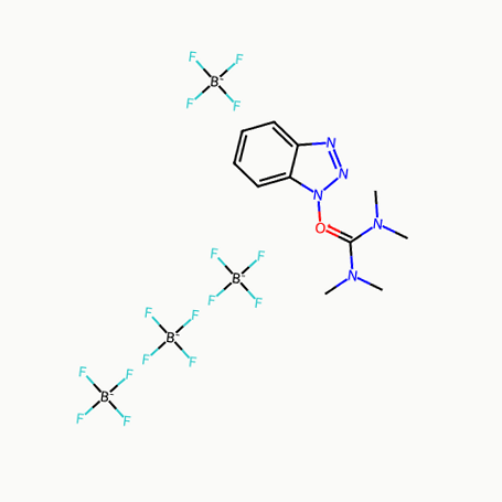 CN(C)C(=[O+]n1nnc2ccccc21)N(C)C.F[B-](F)(F)F.F[B-](F)(F)F.F[B-](F)(F)F.F[B-](F)(F)F